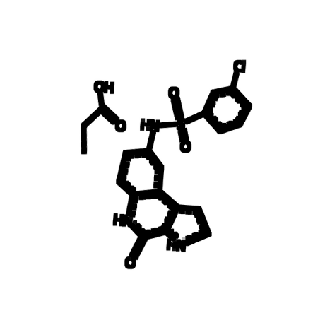 CCC(=O)O.O=c1[nH]c2ccc(NS(=O)(=O)c3cccc(Cl)c3)cc2c2cc[nH]c12